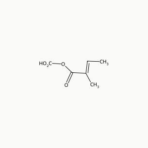 CC=C(C)C(=O)OC(=O)O